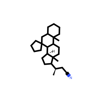 C[C@H](CC#N)C1CC[C@H]2C3C(CCC12C)C1(C)CCCCC1CC31CCCC1